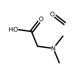 C=O.CN(C)CC(=O)O